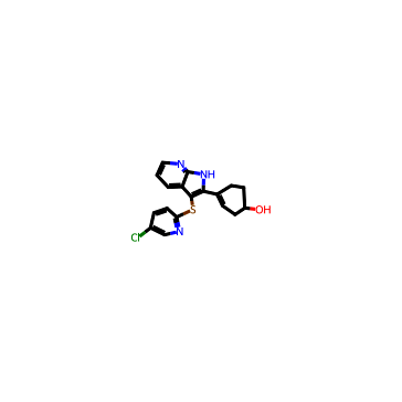 OC1CC=C(c2[nH]c3ncccc3c2Sc2ccc(Cl)cn2)CC1